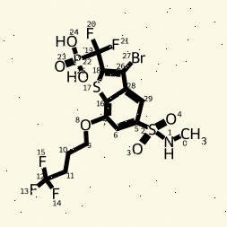 CNS(=O)(=O)c1cc(OCCCC(F)(F)F)c2sc(C(F)(F)P(=O)(O)O)c(Br)c2c1